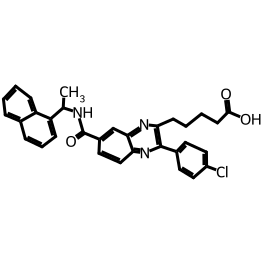 CC(NC(=O)c1ccc2nc(-c3ccc(Cl)cc3)c(CCCCC(=O)O)nc2c1)c1cccc2ccccc12